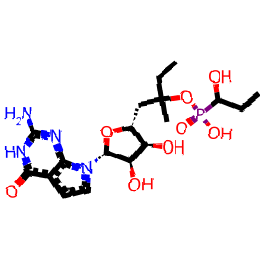 CCC(O)P(=O)(O)OC(C)(CC)C[C@H]1O[C@@H](n2ccc3c(=O)[nH]c(N)nc32)[C@H](O)[C@@H]1O